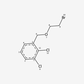 Clc1cccc(COCCBr)c1Cl